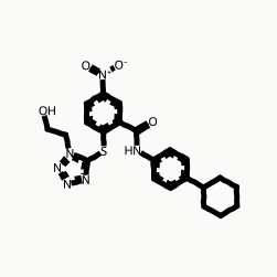 O=C(Nc1ccc(C2CCCCC2)cc1)c1cc([N+](=O)[O-])ccc1Sc1nnnn1CCO